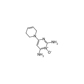 Nc1cc(N2CC=CCC2)nc(N)[n+]1[O-]